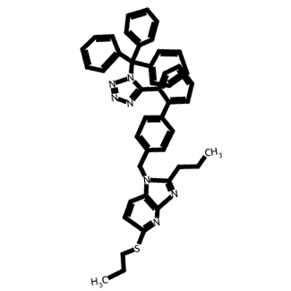 CCCSc1ccc2c(n1)nc(CCC)n2Cc1ccc(-c2ccccc2-c2nnnn2C(c2ccccc2)(c2ccccc2)c2ccccc2)cc1